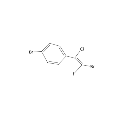 ClC(=C(Br)I)c1ccc(Br)cc1